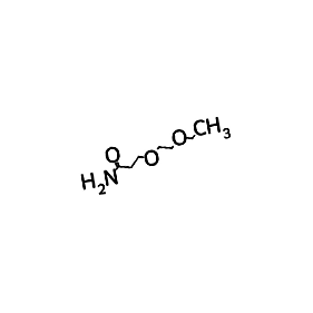 CCOCCOCCC(N)=O